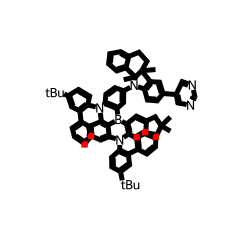 Cc1cc2c3c(c1)N(c1ccc(C(C)(C)C)cc1-c1ccccc1)c1cc4c(cc1B3c1cc(N3c5ccc(-c6cncnc6)cc5C5(C)CCc6ccccc6C35C)ccc1N2c1ccc(C(C)(C)C)cc1-c1ccccc1)CC(C)(C)C4